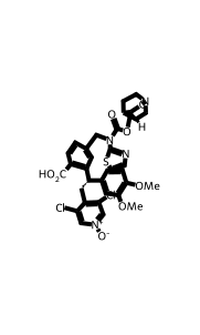 COc1ccc([C@H](Cc2c(Cl)c[n+]([O-])cc2Cl)c2cc(CN(C(=O)O[C@H]3CN4CCC3CC4)c3nccs3)ccc2C(=O)O)cc1OC